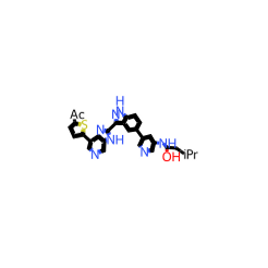 CC(=O)c1ccc(-c2cncc3[nH]c(-c4n[nH]c5ccc(-c6cncc(NC(O)CC(C)C)c6)cc45)nc23)s1